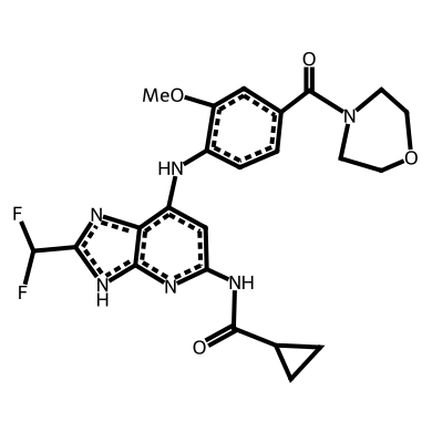 COc1cc(C(=O)N2CCOCC2)ccc1Nc1cc(NC(=O)C2CC2)nc2[nH]c(C(F)F)nc12